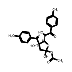 CC(=O)OC1(O)C[C@@](O)(C(=O)c2ccc(C)cc2)[C@@H](C(O)C(=O)c2ccc(C)cc2)S1